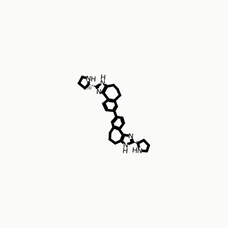 c1cc2c(cc1-c1ccc3c(c1)CCCc1[nH]c([C@@H]4CCCN4)nc1-3)CCCc1[nH]c([C@@H]3CCCN3)nc1-2